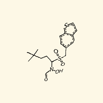 CC(C)(C)CCC(N(O)C=O)S(=O)(=O)Cc1ccc2sccc2c1